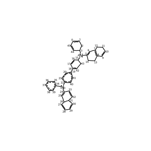 C1=CCC(N(C2=CC3=C(C=CCC3)CC2)C2C=CC(c3ccc(N(C4=CC5C=CC=CC5C=C4)c4ccccc4)cc3)=CC2)C=C1